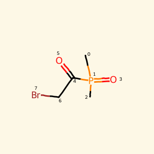 CP(C)(=O)C(=O)CBr